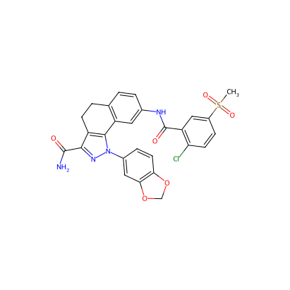 CS(=O)(=O)c1ccc(Cl)c(C(=O)Nc2ccc3c(c2)-c2c(c(C(N)=O)nn2-c2ccc4c(c2)OCO4)CC3)c1